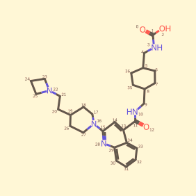 O=C(O)NCC1CCC(CNC(=O)c2cc(N3CCC(CCN4CCC4)CC3)nc3ccccc23)CC1